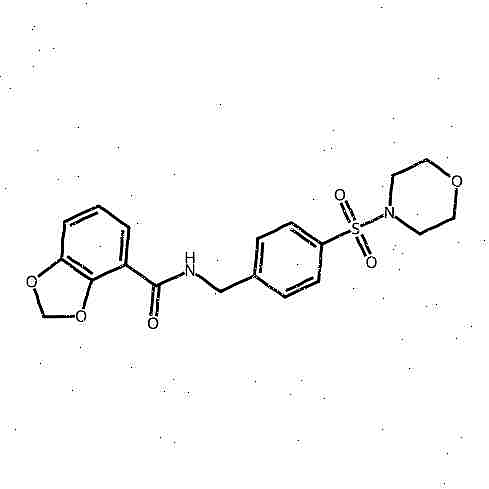 O=C(NCc1ccc(S(=O)(=O)N2CCOCC2)cc1)c1cccc2c1OCO2